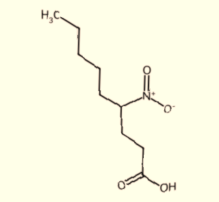 CCCCCC(CCC(=O)O)[N+](=O)[O-]